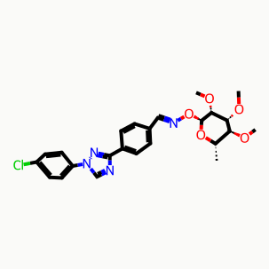 CO[C@@H]1[C@@H](OC)[C@H](C)O[C@@H](O/N=C/c2ccc(-c3ncn(-c4ccc(Cl)cc4)n3)cc2)[C@@H]1OC